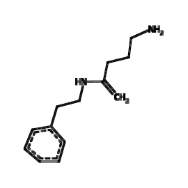 C=C(CCCN)NCCc1ccccc1